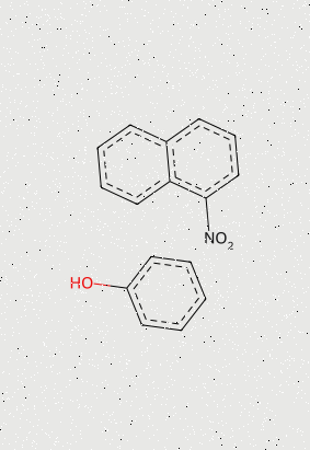 O=[N+]([O-])c1cccc2ccccc12.Oc1ccccc1